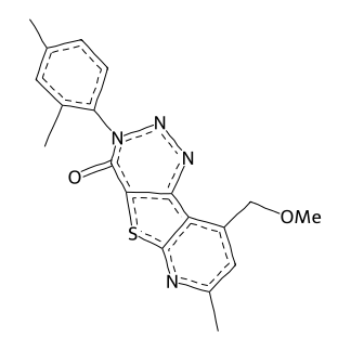 COCc1cc(C)nc2sc3c(=O)n(-c4ccc(C)cc4C)nnc3c12